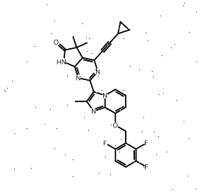 Cc1nc2c(OCc3c(F)ccc(F)c3F)cccn2c1-c1nc(C#CC2CC2)c2c(n1)NC(=O)C2(C)C